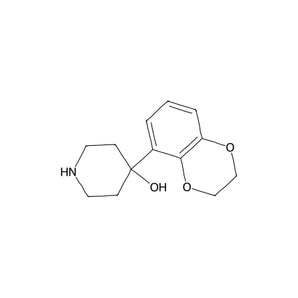 OC1(c2cccc3c2OCCO3)CCNCC1